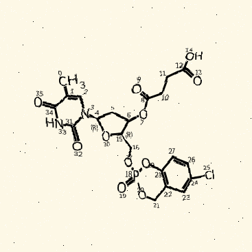 Cc1cn([C@H]2CC(OC(=O)CCC(=O)O)[C@@H](COP3(=O)OCc4cc(Cl)ccc4O3)O2)c(=O)[nH]c1=O